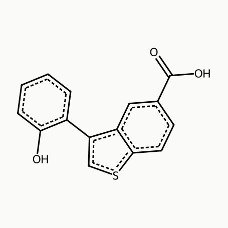 O=C(O)c1ccc2scc(-c3ccccc3O)c2c1